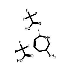 C[C@H]1C=CC[C@H](N)CN1.O=C(O)C(F)(F)F.O=C(O)C(F)(F)F